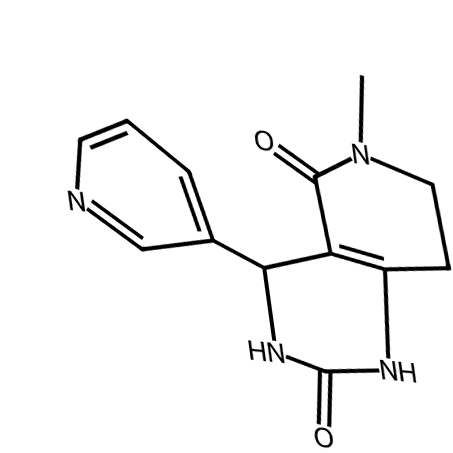 CN1CCC2=C(C1=O)C(c1cccnc1)NC(=O)N2